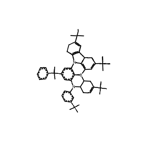 CC(C)(C)C1=CC2=C(CC1)N1C3=C(C=C(C(C)(C)C)CC23)B2c3c1cc(C(C)(C)c1ccccc1)cc3N(c1cccc(C(C)(C)C)c1)C1CC=C(C(C)(C)C)CC21